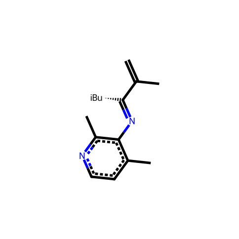 C=C(C)/C(=N/c1c(C)ccnc1C)[C@@H](C)CC